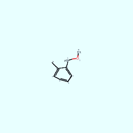 CCO[SiH]c1ccccc1C